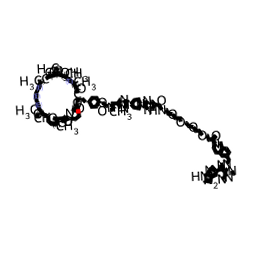 CO[C@H]1CC2CC[C@@H](C)C(O2)C(=O)C(=O)N2CCCC[C@H]2C(=O)O[C@H](CC[C@H]2CC[C@H](OC(=O)N(C)Cc3cnc(N4CCN(c5ncc(C(=O)NCCOCCOCCOCCOCCC(=O)N6CCc7cc(Cn8nc(-c9cnc%10[nH]ccc%10c9)c9c(N)ncnc98)ccc7C6)cn5)CC4)nc3)CC2)CC(=O)[C@H](C)/C=C(\C)[C@@H](O)[C@@H](OC)C(=O)[C@H](C)C[C@H](C)/C=C/C=C/C=C/1C